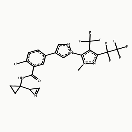 Cn1nc(C(F)(F)C(F)(F)F)c(C(F)(F)F)c1-n1cc(-c2ccc(Cl)c(C(=O)NC3(C4C=N4)CC3)c2)cn1